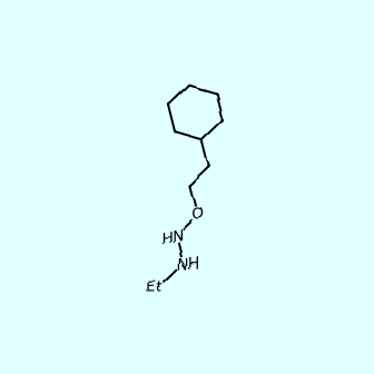 CCNNOCCC1CCCCC1